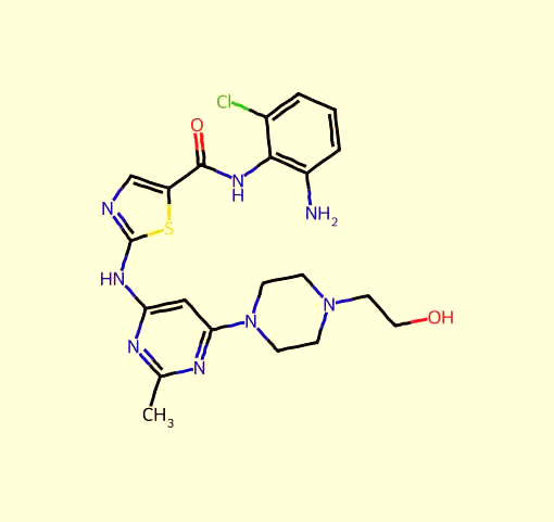 Cc1nc(Nc2ncc(C(=O)Nc3c(N)cccc3Cl)s2)cc(N2CCN(CCO)CC2)n1